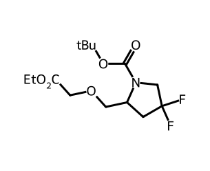 CCOC(=O)COCC1CC(F)(F)CN1C(=O)OC(C)(C)C